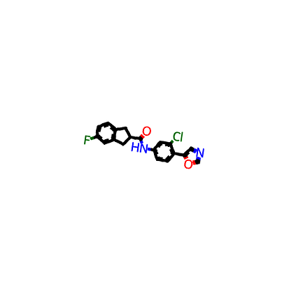 O=C(Nc1ccc(-c2cnco2)c(Cl)c1)C1Cc2ccc(F)cc2C1